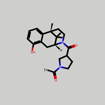 CCC(=O)N1CCC(C(=O)N2CC[C@@]3(C)c4cccc(O)c4C[C@@H]2C3(C)C)C1